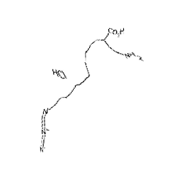 Cl.[N-]=[N+]=NCCCCC(N)C(=O)O